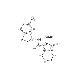 COC1=C(C(=O)N[C@@H]2CCc3ccc(C(F)(F)F)cc32)C2CCCCN2C1=O